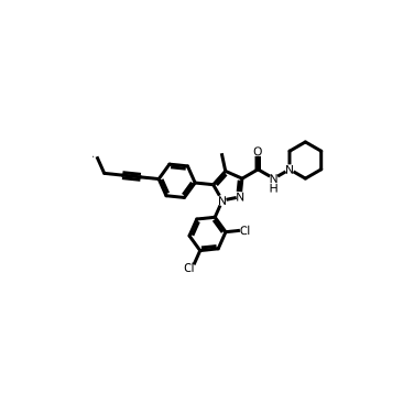 [CH2]CC#Cc1ccc(-c2c(C)c(C(=O)NN3CCCCC3)nn2-c2ccc(Cl)cc2Cl)cc1